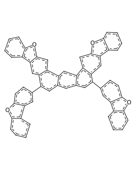 c1ccc2c(c1)oc1ccc(-c3cc4cc5cc(-c6ccc7oc8ccccc8c7c6)c6cc7c(cc6c5cc4c4cc5oc6ccccc6c5cc34)oc3ccccc37)cc12